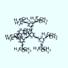 CC(C)(C)C#CC1=CC(C#CC(C)(C)C)CC(C#Cc2cc(C#Cc3cc(C#CC(C)(C)C)cc(C#CC(C)(C)C)c3)c(/N=N/c3c(O)ccc4ccccc34)c(C#Cc3cc(C#CC(C)(C)C)cc(C#CC(C)(C)C)c3)c2)=C1